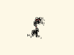 CC[C@H](C)[C@H](NC(=O)OC)C(=O)N1C2C(C[C@H]1c1nc3ccc4cc(-c5ccc6c(ccc7nc([C@@H]8C[C@H](COC)CN8C(=O)[C@H](NC(=O)OC)c8ccccc8)[nH]c76)c5)ccc4c3[nH]1)[C@H]2C